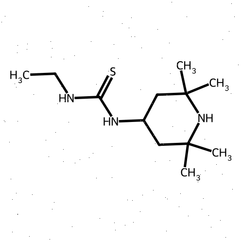 CCNC(=S)NC1CC(C)(C)NC(C)(C)C1